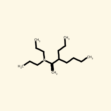 C=C(C(CCC)CCCC)N(CCC)CCC